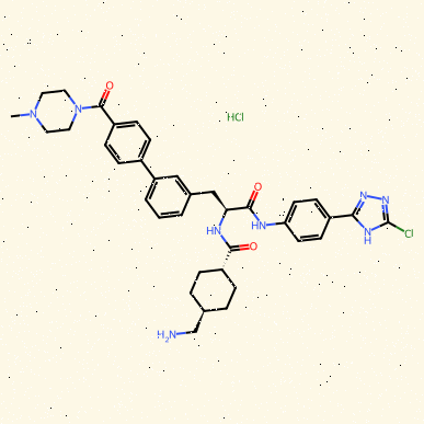 CN1CCN(C(=O)c2ccc(-c3cccc(C[C@H](NC(=O)[C@H]4CC[C@H](CN)CC4)C(=O)Nc4ccc(-c5nnc(Cl)[nH]5)cc4)c3)cc2)CC1.Cl